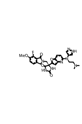 COc1ccc2c(c1F)C(=O)N(C[C@@]1(c3cc4nc(N(CCN(C)C)c5cn[nH]c5)ccc4o3)NC(=O)NC1=O)C2